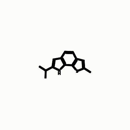 Cc1cc2ccc3cc(C(C)C)[nH]c3c2s1